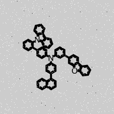 c1cc(-c2ccc3c(c2)oc2ccccc23)cc(N(c2ccc(-c3ccccc3-n3c4ccccc4c4ccccc43)cc2)c2ccc(-c3cccc4ccccc34)cc2)c1